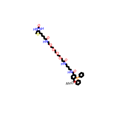 COC(=O)c1ccc(C(=O)NCCCCCNC(=O)CCOCCOCCOCCOCCNC(=O)CCCCC2SCC3NC(=O)NC32)cc1P(c1ccccc1)c1ccccc1